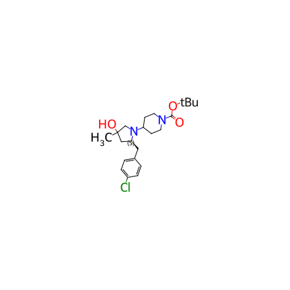 CC1(O)C[C@H](Cc2ccc(Cl)cc2)N(C2CCN(C(=O)OC(C)(C)C)CC2)C1